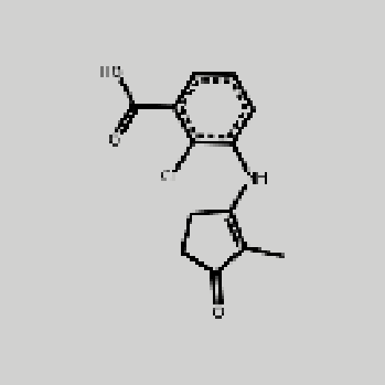 CC1=C(Nc2cccc(C(=O)O)c2Cl)CCC1=O